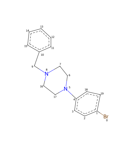 Brc1ccc(N2CCN(Cc3ccccc3)CC2)cc1